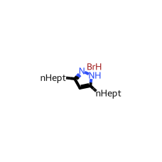 Br.CCCCCCCc1cc(CCCCCCC)[nH]n1